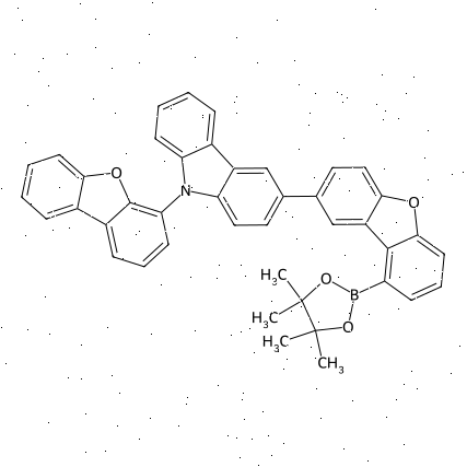 CC1(C)OB(c2cccc3oc4ccc(-c5ccc6c(c5)c5ccccc5n6-c5cccc6c5oc5ccccc56)cc4c23)OC1(C)C